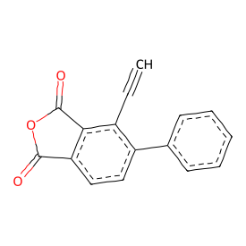 C#Cc1c(-c2ccccc2)ccc2c1C(=O)OC2=O